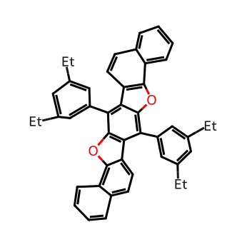 CCc1cc(CC)cc(-c2c3oc4c5ccccc5ccc4c3c(-c3cc(CC)cc(CC)c3)c3oc4c5ccccc5ccc4c23)c1